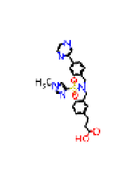 Cn1cnc(S(=O)(=O)N(Cc2ccc(-c3cnccn3)cc2)Cc2cccc(CCC(=O)O)c2)c1